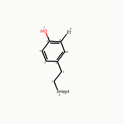 CCCCCCCCCc1ccc(O)c(CC)c1